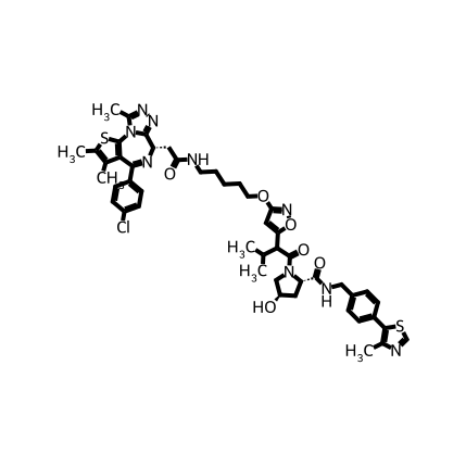 Cc1ncsc1-c1ccc(CNC(=O)[C@@H]2C[C@@H](O)CN2C(=O)C(c2cc(OCCCCCNC(=O)C[C@@H]3N=C(c4ccc(Cl)cc4)c4c(sc(C)c4C)-n4c(C)nnc43)no2)C(C)C)cc1